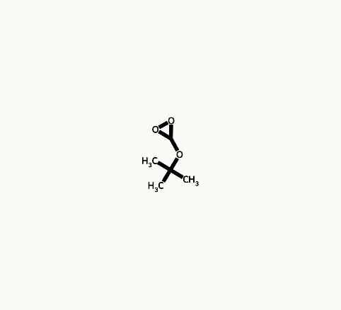 CC(C)(C)OC1OO1